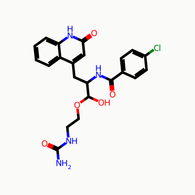 NC(=O)NCCOC(O)C(Cc1cc(=O)[nH]c2ccccc12)NC(=O)c1ccc(Cl)cc1